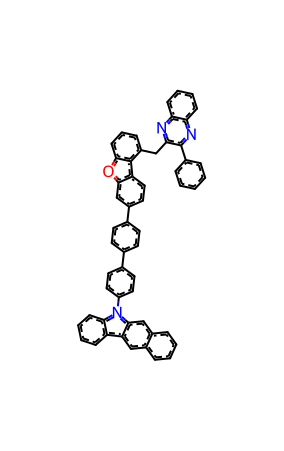 c1ccc(-c2nc3ccccc3nc2Cc2cccc3oc4cc(-c5ccc(-c6ccc(-n7c8ccccc8c8cc9ccccc9cc87)cc6)cc5)ccc4c23)cc1